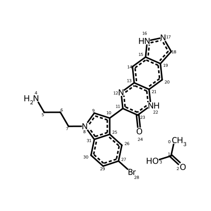 CC(=O)O.NCCCn1cc(-c2nc3cc4[nH]ncc4cc3[nH]c2=O)c2cc(Br)ccc21